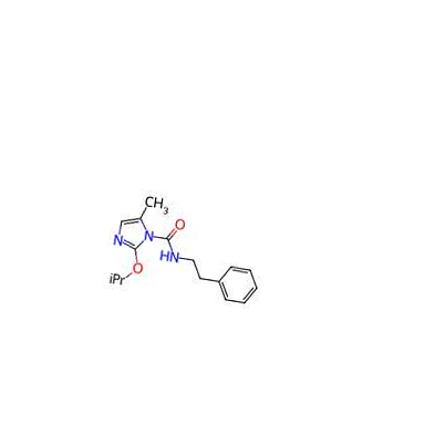 Cc1cnc(OC(C)C)n1C(=O)NCCc1ccccc1